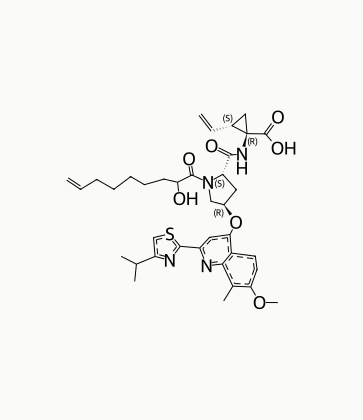 C=CCCCCCC(O)C(=O)N1C[C@H](Oc2cc(-c3nc(C(C)C)cs3)nc3c(C)c(OC)ccc23)C[C@H]1C(=O)N[C@]1(C(=O)O)C[C@H]1C=C